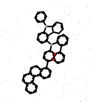 C1=CCC2C(=C1)N(c1ccccc1)c1cccc(N(c3ccc(-c4cccc5c4ccc4ccc6ccccc6c45)cc3)c3ccccc3-c3ccccc3)c12